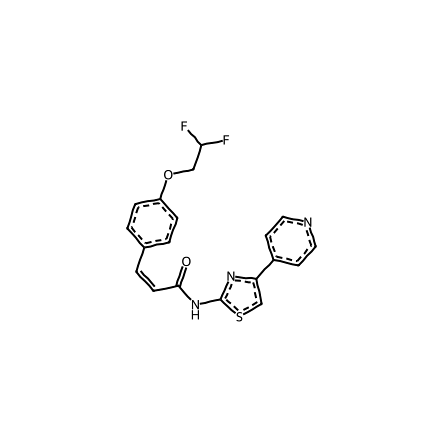 O=C(/C=C\c1ccc(OCC(F)F)cc1)Nc1nc(-c2ccncc2)cs1